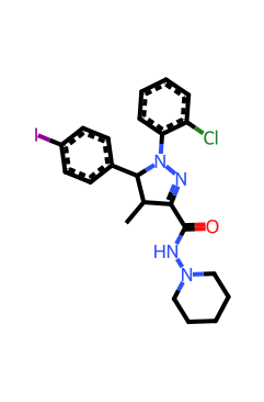 CC1C(C(=O)NN2CCCCC2)=NN(c2ccccc2Cl)C1c1ccc(I)cc1